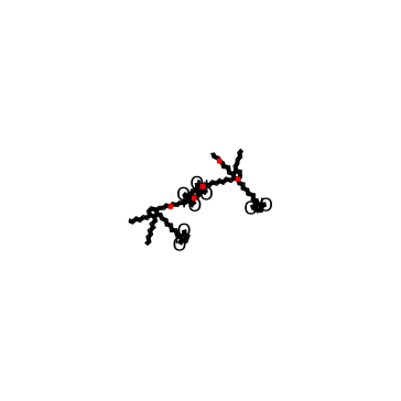 CCCCCCCCC1C(CCCCCC)CCC(CCCCCCCCn2c(=O)c3cc4c(=O)n(CCCCCCCCC5C(CCCCCCCCN6C(=O)C=CC6=O)CCC(CCCCCC)C5CCCCCCCC)c(=O)c4cc3c2=O)C1CCCCCCCCN1C(=O)C=CC1=O